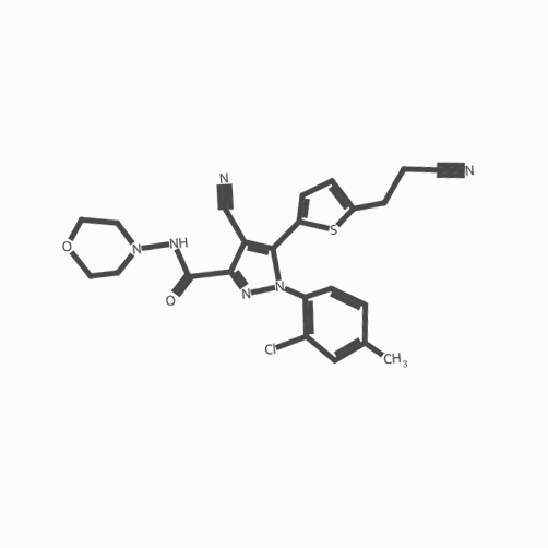 Cc1ccc(-n2nc(C(=O)NN3CCOCC3)c(C#N)c2-c2ccc(CCC#N)s2)c(Cl)c1